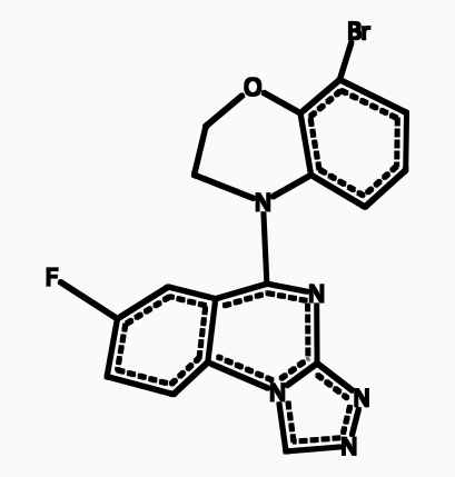 Fc1ccc2c(c1)c(N1CCOc3c(Br)cccc31)nc1nncn12